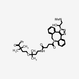 CNCC(O)n1nnc2c1-c1ccccc1CN(C(=O)CCC(=O)NCCC(C)(C)OCCC(C)(C)C(=O)C(C)C)c1ccccc1-2